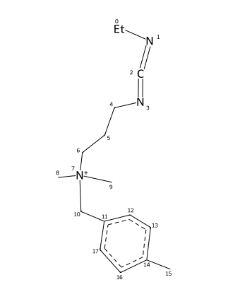 CCN=C=NCCC[N+](C)(C)Cc1ccc(C)cc1